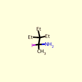 CCC(CC)(CC)C(C)(N)I